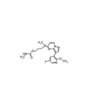 CNC(=O)OCCCN(C)c1ccn2ncc(-c3cc(F)cnc3OC)c2n1